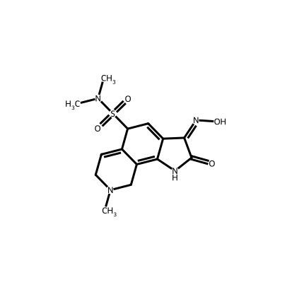 CN1CC=C2C(=C3NC(=O)/C(=N\O)C3=CC2S(=O)(=O)N(C)C)C1